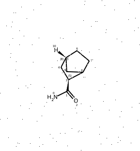 NC(=O)[C@H]1C[C@@H]2CCC1C2